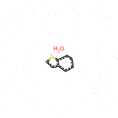 O.[c]1cc2ccccc2s1